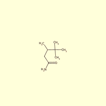 CC(CC(N)=O)C(C)(C)C